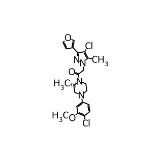 COc1cc(N2CCN(C(=O)Cn3nc(-c4ccoc4)c(Cl)c3C)[C@@H](C)C2)ccc1Cl